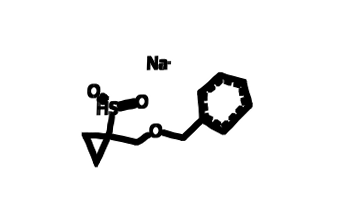 O=[SH](=O)C1(COCc2ccccc2)CC1.[Na]